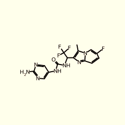 Cc1c(C(NC(=O)Nc2cnc(N)nc2)C(F)(F)F)nc2ccc(F)cn12